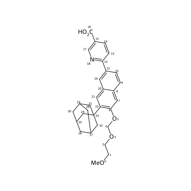 COCCOCOc1cc2ccc(-c3ccc(C(=O)O)cn3)cc2cc1C12CC3CC(CC(C3)C1)C2